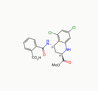 COC(=O)[C@H]1C[C@H](NC(=O)c2ccccc2C(=O)O)c2c(Cl)cc(Cl)cc2N1